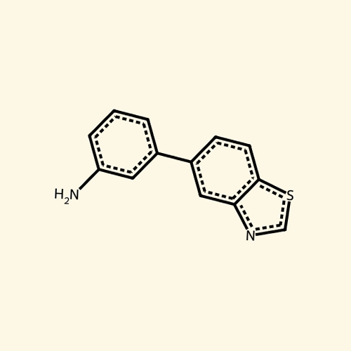 Nc1cccc(-c2ccc3scnc3c2)c1